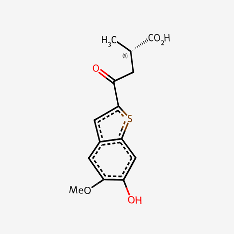 COc1cc2cc(C(=O)C[C@H](C)C(=O)O)sc2cc1O